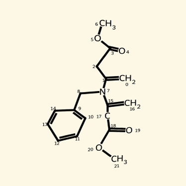 C=C(CC(=O)OC)N(Cc1ccccc1)C(=C)CC(=O)OC